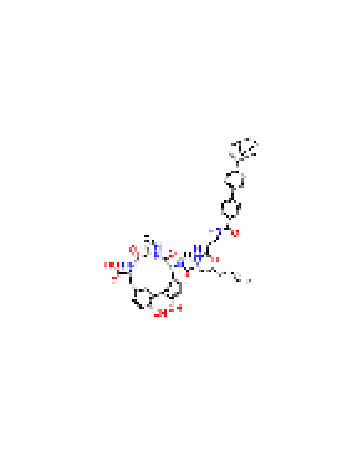 CCCCC[C@H](NC(=O)CCNC(=O)c1ccc(-c2ccc(C3C4CC5CC(C4)CC3C5)cc2)cc1)C(=O)N(C)[C@@H]1C(=O)N[C@@H](C)C(=O)N[C@H](C(=O)O)Cc2ccc(O)c(c2)-c2cc1ccc2O